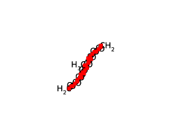 C=CC(=O)OCCOC(=O)CCC(=O)Oc1ccc(C(=O)Oc2ccc(OC(=O)c3ccc(OC(=O)CCC(=O)OCCOC(=O)C=C)cc3)c(C)c2)cc1